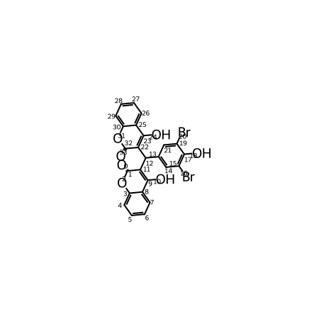 O=c1oc2ccccc2c(O)c1C(c1cc(Br)c(O)c(Br)c1)c1c(O)c2ccccc2oc1=O